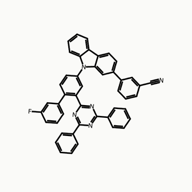 N#Cc1cccc(-c2ccc3c4ccccc4n(-c4ccc(-c5cccc(F)c5)c(-c5nc(-c6ccccc6)nc(-c6ccccc6)n5)c4)c3c2)c1